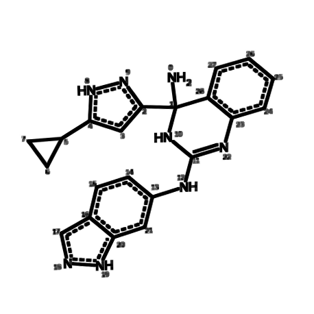 NC1(c2cc(C3CC3)[nH]n2)NC(Nc2ccc3cn[nH]c3c2)=Nc2ccccc21